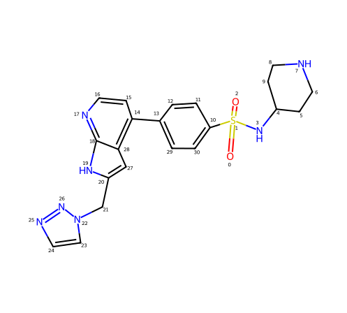 O=S(=O)(NC1CCNCC1)c1ccc(-c2ccnc3[nH]c(Cn4ccnn4)cc23)cc1